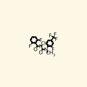 CN(C(=O)c1c(F)cccc1F)C(=O)N(C)c1ccc(C(F)(F)F)cc1F